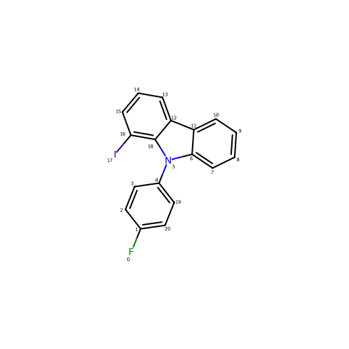 Fc1ccc(-n2c3ccccc3c3cccc(I)c32)cc1